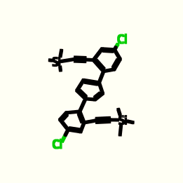 C[Si](C)(C)C#Cc1cc(Cl)ccc1-c1ccc(-c2ccc(Cl)cc2C#C[Si](C)(C)C)cc1